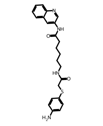 Nc1ccc(SCC(=O)NCCCCCC(=O)Nc2cnc3ccccc3c2)cc1